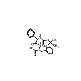 CC(C)(C)OC(=O)N[C@H](C(=O)NC(Cc1ccccc1)C(=O)O)c1ccccc1